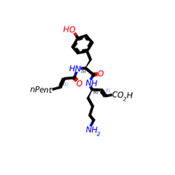 CCCCC/C=C/C(=O)N[C@@H](Cc1ccc(O)cc1)C(=O)N[C@@H](/C=C/C(=O)O)CCCCN